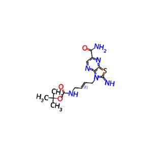 CC(C)(C)OC(=O)NC/C=C/Cn1c(=N)sc2nc(C(N)=O)cnc21